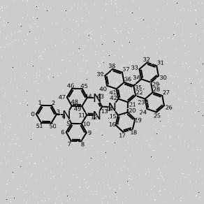 c1ccc(N2c3ccccc3-c3nc(-n4c5ccccc5c5c6c7ccccc7c7ccccc7c6c6ccccc6c54)nc4cccc2c34)cc1